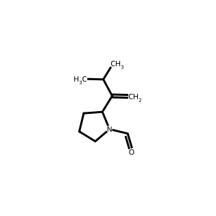 C=C(C(C)C)C1CCCN1C=O